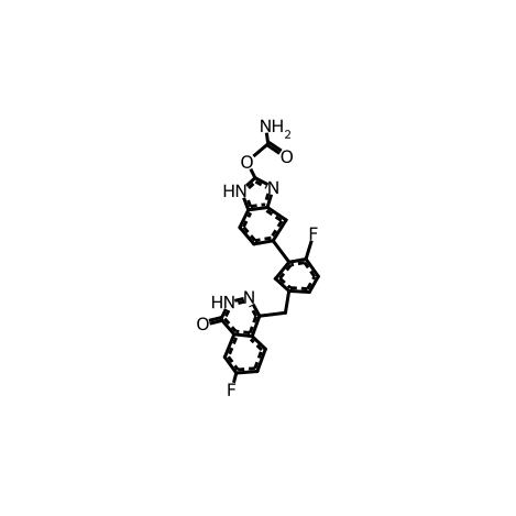 NC(=O)Oc1nc2cc(-c3cc(Cc4n[nH]c(=O)c5cc(F)ccc45)ccc3F)ccc2[nH]1